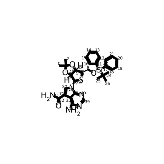 CC1(C)O[C@@H]2[C@H](O1)[C@@H](CO[Si](c1ccccc1)(c1ccccc1)C(C)(C)C)S[C@H]2n1cc(C(N)=O)c2c(N)ncnc21